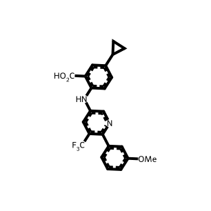 COc1cccc(-c2ncc(Nc3ccc(C4CC4)cc3C(=O)O)cc2C(F)(F)F)c1